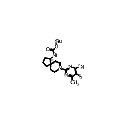 Cc1nc(N2CCC3(CCC[C@H]3NC(=O)OC(C)(C)C)CC2)nc(C#N)c1Br